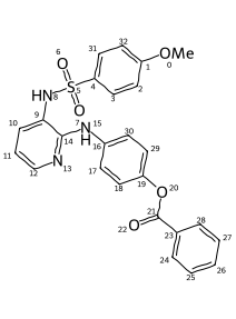 COc1ccc(S(=O)(=O)Nc2cccnc2Nc2ccc(OC(=O)c3ccccc3)cc2)cc1